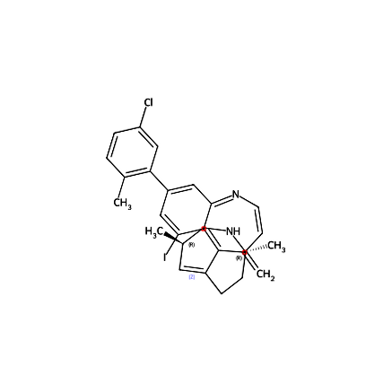 C=C1C=CN=c2cc(-c3cc(Cl)ccc3C)cc(I)c2=C1/C1=C\[C@@H](C)CN[C@H](C)CC1